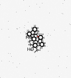 CC(C)c1cc(C2(c3cc(I)c(O)c(C4(C(C)C)c5ccccc5-c5ccccc54)c3)c3ccccc3-c3ccccc32)cc(I)c1O